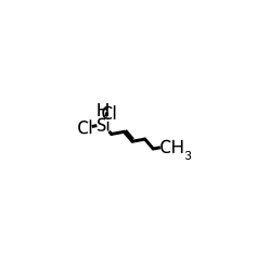 CCCC=CC[SiH](Cl)Cl